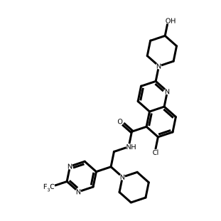 O=C(NCC(c1cnc(C(F)(F)F)nc1)N1CCCCC1)c1c(Cl)ccc2nc(N3CCC(O)CC3)ccc12